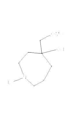 CCN1CCCC(O)(COC)CC1